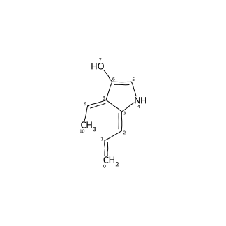 C=C/C=c1/[nH]cc(O)/c1=C/C